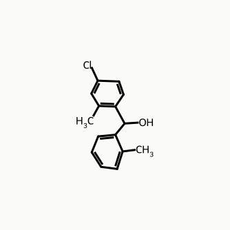 Cc1ccccc1C(O)c1ccc(Cl)cc1C